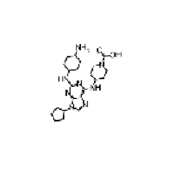 NC1CCC(Nc2nc(NC3CCN(C(=O)O)CC3)c3ncn(C4CCCC4)c3n2)CC1